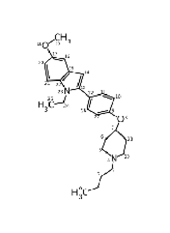 CCCCN1CCC(Oc2ccc(-c3cc4cc(OC)ccc4n3CC)cc2)CC1